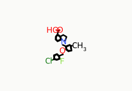 Cc1ccc(OCc2ccc(Cl)cc2F)c(CN2CCCc3c(C(=O)O)cccc32)c1